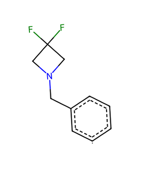 FC1(F)CN(Cc2c[c]ccc2)C1